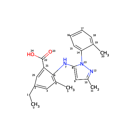 CCc1cc(C)c(Nc2cc(C)nn2-c2ccccc2C)c(C(=O)O)c1